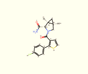 NC(=O)[C@@H]1[C@H]2C[C@H]2CN1C(=O)c1ccsc1-c1ccc(F)cc1